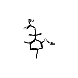 Cc1cc(C)c(C(C)(C)CC(=O)C(C)(C)C)c(OC(C)(C)C)c1